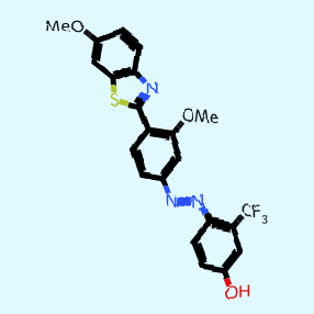 COc1ccc2nc(-c3ccc(/N=N/c4ccc(O)cc4C(F)(F)F)cc3OC)sc2c1